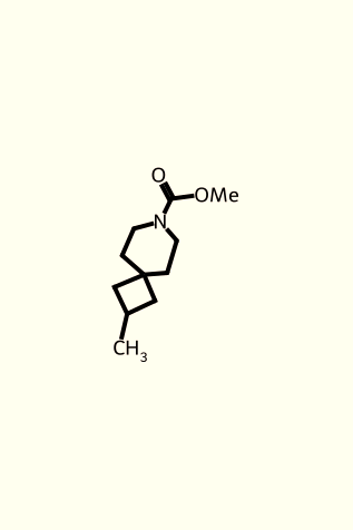 COC(=O)N1CCC2(CC1)CC(C)C2